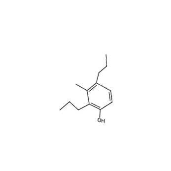 CCCc1ccc(O)c(CCC)c1C